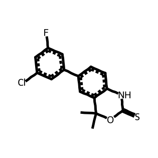 CC1(C)OC(=S)Nc2ccc(-c3cc(F)cc(Cl)c3)cc21